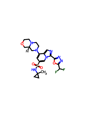 CC1(NS(=O)(=O)c2cc(N3CCN4CCOC[C@H]4C3)c3cnc(-c4nnc(C(F)F)o4)n3c2)CC1